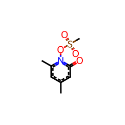 Cc1cc(C)n(OS(C)(=O)=O)c(=O)c1